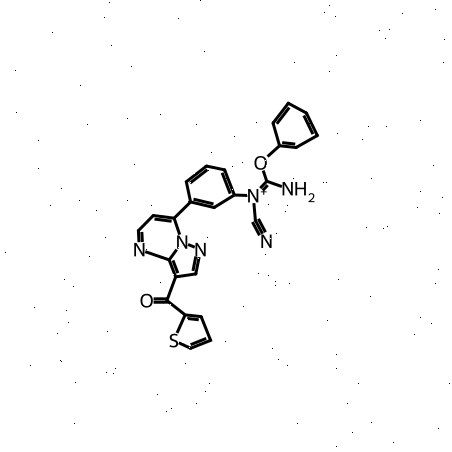 N#C[N+](=C(N)Oc1ccccc1)c1cccc(-c2ccnc3c(C(=O)c4cccs4)cnn23)c1